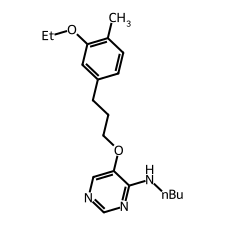 CCCCNc1ncncc1OCCCc1ccc(C)c(OCC)c1